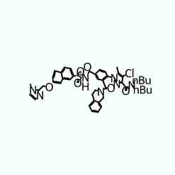 CCCCN(CCCC)C(=O)c1nn(-c2ccc(C(=O)NS(=O)(=O)c3ccc4ccc(OCc5nccn5C)cc4c3)cc2C(=O)N2CCc3ccccc3C2)c(C)c1Cl